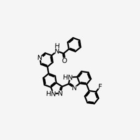 O=C(Nc1cncc(-c2ccc3[nH]nc(-c4nc5c(-c6ccccc6F)cccc5[nH]4)c3c2)c1)c1ccccc1